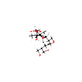 FC(F)(F)C(O[Si](OC(C(F)(F)F)(C(F)(F)F)C(F)(F)F)(OC(C(F)(F)F)(C(F)(F)F)C(F)(F)F)OC(C(F)(F)F)(C(F)(F)F)C(F)(F)F)(C(F)(F)F)C(F)(F)F